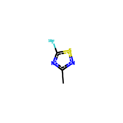 Cc1nsc([18F])n1